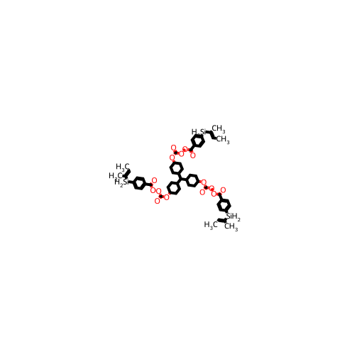 CC=C(C)[SiH2]c1ccc(C(=O)OOC(=O)OC2CCC(C(C3CCC(OC(=O)OOC(=O)c4ccc([SiH2]C(C)=CC)cc4)CC3)C3CCC(OC(=O)OOC(=O)c4ccc([SiH2]C(C)=CC)cc4)CC3)CC2)cc1